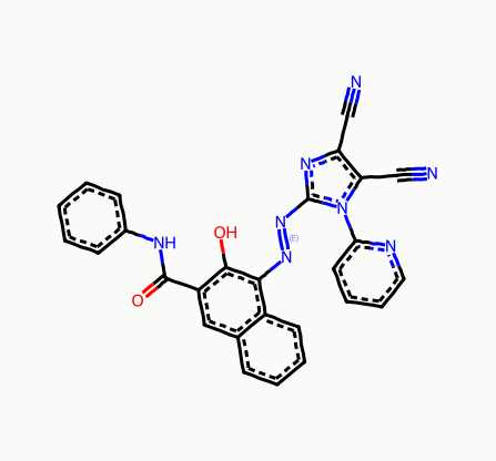 N#Cc1nc(/N=N/c2c(O)c(C(=O)Nc3ccccc3)cc3ccccc23)n(-c2ccccn2)c1C#N